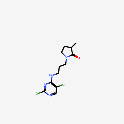 CC1CCN(CCCNc2nc(Cl)ncc2Cl)C1=O